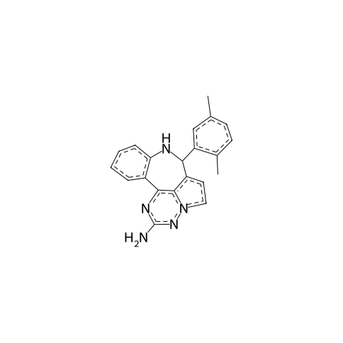 Cc1ccc(C)c(C2Nc3ccccc3-c3nc(N)nn4ccc2c34)c1